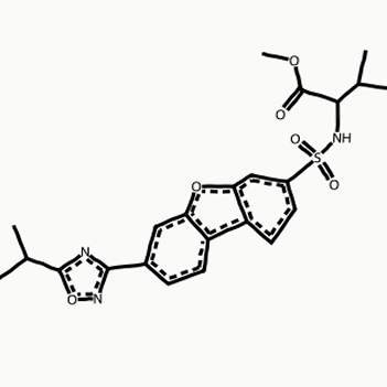 COC(=O)C(NS(=O)(=O)c1ccc2c(c1)oc1cc(-c3noc(C(C)C)n3)ccc12)C(C)C